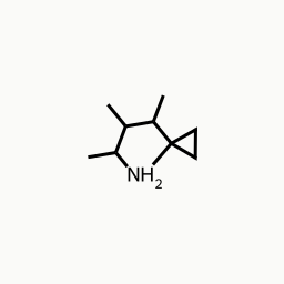 CC(N)C(C)C(C)C1(C)CC1